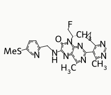 CSc1ccc(CNc2nc3c(C)nc(-c4c(C)ncnc4C4CC4)nc3n([C@@H](C)CF)c2=O)nc1